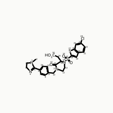 CN1CCN=C1c1ccc(CN2CCN(S(=O)(=O)c3cc4ccc(Cl)cc4s3)C(CC(=O)O)C2=O)cc1